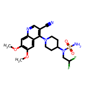 COc1cc2ncc(C#N)c(N3CCC(N(CC(F)F)S(N)(=O)=O)CC3)c2cc1OC